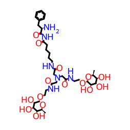 C[C@@H]1O[C@@H](OCCNC(=O)CN(CC(=O)NCCCCCC(=O)NC(=O)[C@@H](N)Cc2ccccc2)CC(=O)NCCO[C@@H]2O[C@@H](C)[C@@H](O)[C@@H](O)[C@@H]2O)[C@@H](O)[C@H](O)[C@@H]1O